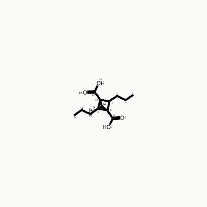 CCCC1C2(C(=O)O)C(Br)C1(C(=O)O)C2CCC